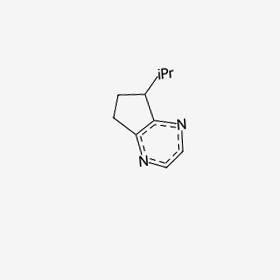 CC(C)C1CCc2nccnc21